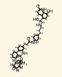 C[N+]1(C)[C@@H]2C[C@@H](OC(=O)Nc3cc(CCC(=O)Nc4ccc(CCCNC[C@H](O)c5ccc(O)c6[nH]c(=O)ccc56)cc4)ccc3-c3ccccc3)C[C@H]1[C@@H]1O[C@@H]12